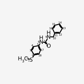 CSc1ccc(NC(=O)NCc2ccccc2)cc1